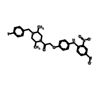 CC1CN(C(=O)COc2ccc(Nc3ccc([N+](=O)[O-])cc3[N+](=O)[O-])cc2)C(C)CN1Cc1ccc(F)cc1